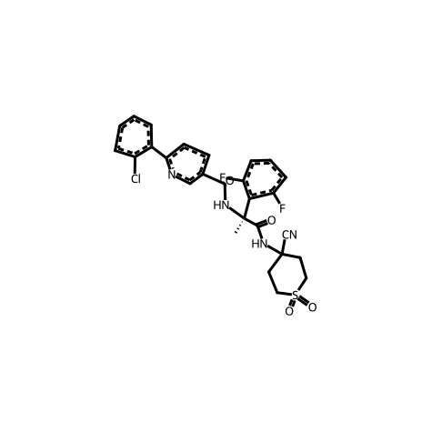 C[C@@](NC(=O)c1ccc(-c2ccccc2Cl)nc1)(C(=O)NC1(C#N)CCS(=O)(=O)CC1)c1c(F)cccc1F